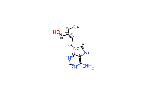 Nc1ncnc2c1ncn2C/C=C(\CO)CCl